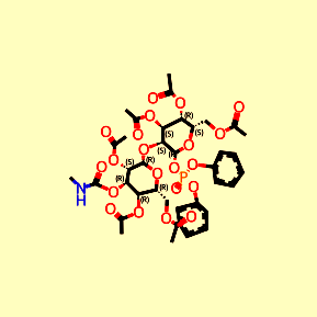 CNC(=O)O[C@H]1[C@H](OC(C)=O)[C@@H](O[C@@H]2[C@@H](OP(=O)(Oc3ccccc3)Oc3ccccc3)O[C@@H](COC(C)=O)[C@@H](OC(C)=O)[C@@H]2OC(C)=O)O[C@H](COC(C)=O)[C@H]1OC(C)=O